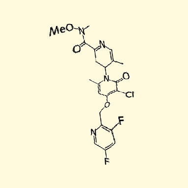 CON(C)C(=O)C1=NC=C(C)C(n2c(C)cc(OCc3ncc(F)cc3F)c(Cl)c2=O)C1